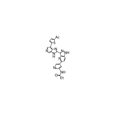 CCC(=O)Nc1cncc(-c2ccc3[nH]nc(-c4nc5c(-c6ccc(C(C)=O)s6)cncc5[nH]4)c3n2)c1